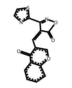 O=C1ON=C(c2nccs2)C1=Cc1coc2ccccc2c1=O